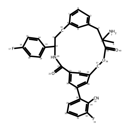 CC1(N)Cc2cccc(c2)CCC(c2ccc(F)cc2)NC(=O)c2cc(cc(-c3cccc(F)c3C#N)c2)COC1=O